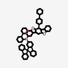 c1ccc(-c2ccc(-c3c4oc5ccc(N(c6ccc7c(c6)C6(c8ccccc8-c8ccccc86)c6ccccc6-7)c6ccccc6-c6ccccc6)cc5c4cc4oc5ccccc5c34)cc2)cc1